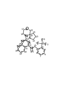 FC(F)(F)c1ccccc1CNc1nc(N2CCOCC23CCCC3)nc2ncccc12